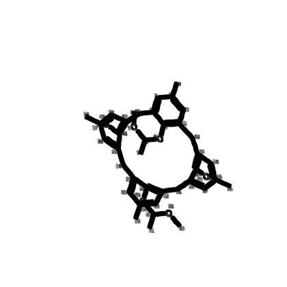 COC(C)Oc1c2cc(C)cc1Cc1cc(C)cc(c1O)Cc1cc(C)cc(c1OC(C)OC)Cc1cc(C)cc(c1O)C2